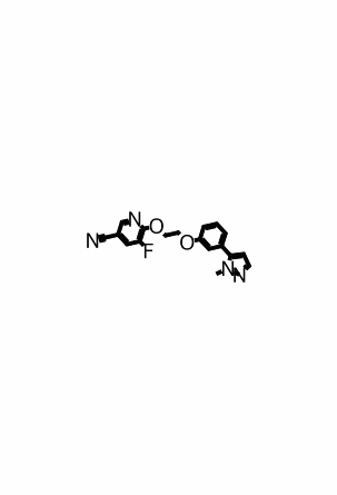 Cn1nccc1-c1cccc(OCCOc2ncc(C#N)cc2F)c1